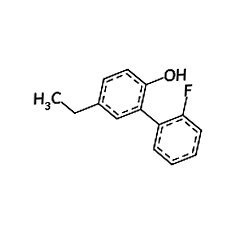 CCc1ccc(O)c(-c2ccccc2F)c1